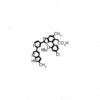 Cc1cc2cc(-c3cc(-c4nc5cc(C)c(CC(=O)O)c(-c6ccc(Cl)cc6OC(C)(C)C)c5s4)ccn3)cnc2[nH]1